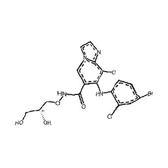 O=C(NOC[C@H](O)CO)c1cn2ccnc2c(Cl)c1Nc1ccc(Br)cc1Cl